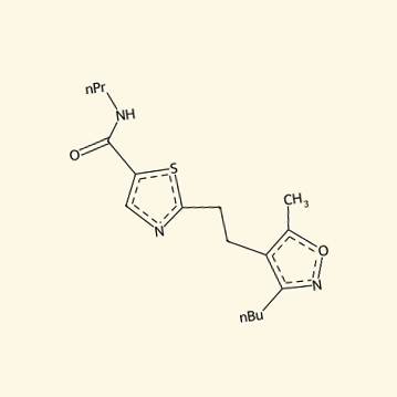 CCCCc1noc(C)c1CCc1ncc(C(=O)NCCC)s1